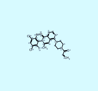 C=CC(=O)N1CCN(c2ncnc3c(=O)n(-c4c(N)c(Cl)cc(Cl)c4F)c(C)cc23)CC1